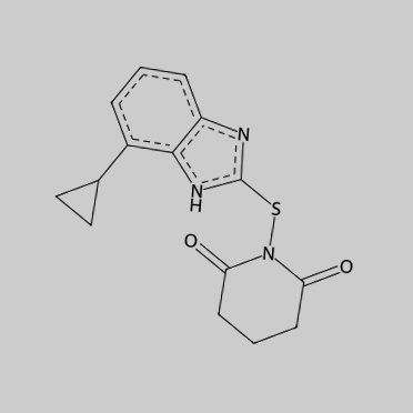 O=C1CCCC(=O)N1Sc1nc2cccc(C3CC3)c2[nH]1